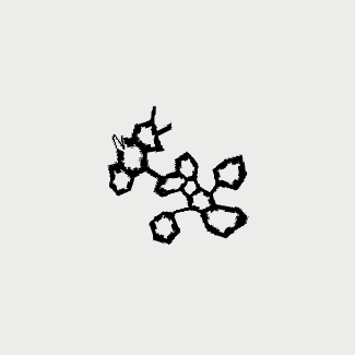 Cc1cc2nc3ccccc3c(-c3ccc4c5c(cccc35)-c3c-4c(-c4ccccc4)c4ccccc4c3-c3ccccc3)c2cc1C